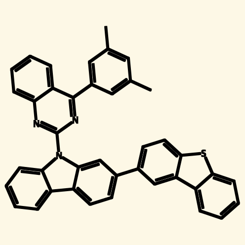 Cc1cc(C)cc(-c2nc(-n3c4ccccc4c4ccc(-c5ccc6sc7ccccc7c6c5)cc43)nc3ccccc23)c1